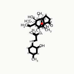 C=C[C@]1(C)C[C@@H](OC(=O)CSC2CCC(C)CC2O)[C@]2(C)C(C)CC[C@]3(CCC(=O)[C@H]32)[C@@H](C)[C@@H]1O